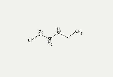 CC[SiH2][SiH2][SiH2]Cl